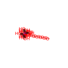 CCCOCCOCCOCCOCCOCCOCCOCCOCCOCCOCCOCCOCCC(=O)N(CCN(C[C@H](O)[C@@H](O)[C@H](O)[C@H](O)CO)C[C@H](O)[C@@H](O)[C@H](O)[C@H](O)CO)CCN(C[C@H](O)[C@@H](O)[C@H](O)[C@H](O)CO)C[C@H](O)[C@@H](O)[C@H](O)[C@H](O)CO